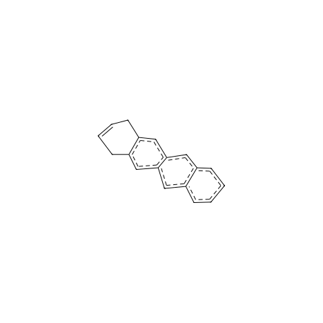 C1=CCc2cc3cc4ccccc4cc3cc2C1